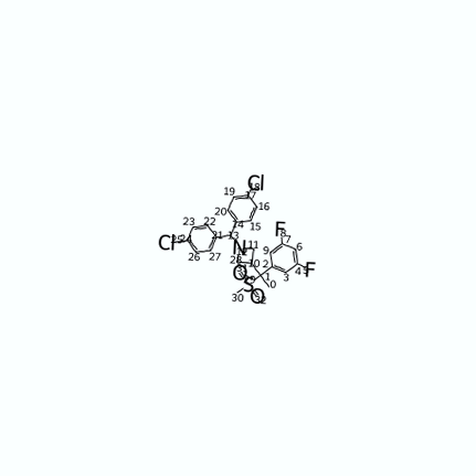 CC(c1cc(F)cc(F)c1)(C1CN(C(c2ccc(Cl)cc2)c2ccc(Cl)cc2)C1)S(C)(=O)=O